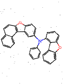 c1ccc(N(c2ccc3oc4ccc5ccccc5c4c3c2)c2cccc3oc4ccccc4c23)cc1